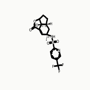 C[C@]1(NS(=O)(=O)c2ccc(C(F)(F)F)cn2)C=C2C(=O)OC3CC[C@H](C1)[C@]23O